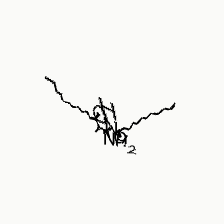 CCCCCCCCCCCC(=O)NC(N)C(C)C(=O)CCCCCCCCCCC